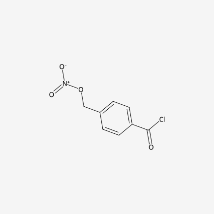 O=C(Cl)c1ccc(CO[N+](=O)[O-])cc1